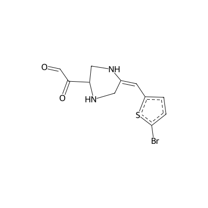 O=CC(=O)C1CNC(=Cc2ccc(Br)s2)CN1